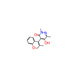 CC1=C(c2c(O)c(C)nn(C)c2=O)c2ccccc2OC1